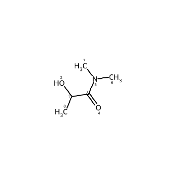 CC(O)C(=O)N(C)C